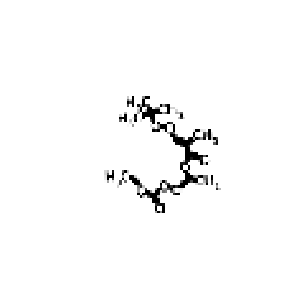 CCOC(=O)OOC(C)OC(=O)C(C)=COOC(C)(C)C